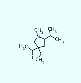 CCC1(C(C)I)CC(C(C)C)N(C)C1